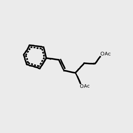 CC(=O)OCCC(C=Cc1ccccc1)OC(C)=O